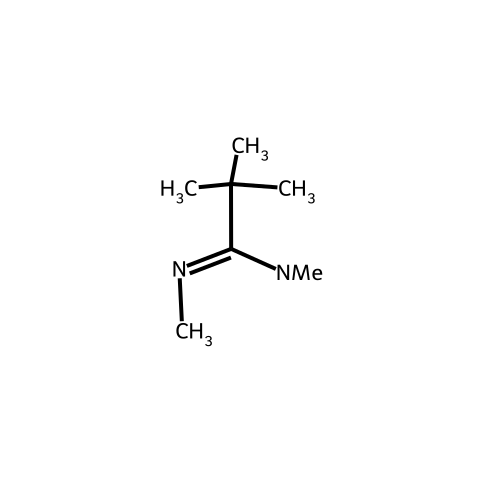 C/N=C(\NC)C(C)(C)C